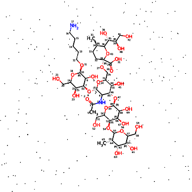 CC(=O)NC1[C@H](O[C@@H]2C(O)[C@H](OCCCCCN)OC(CO)[C@@H]2O)OC(CO[C@]2(C(=O)O)CC[C@@H](C)C([C@H](O)[C@H](O)CO)O2)[C@@H](O)[C@@H]1O[C@@H]1OC(CO)[C@H](OC2OC(CO)[C@H](O)[C@H](O)[C@@H]2C)[C@H](O)C1O